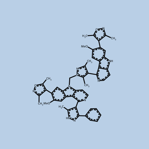 COc1cc2c(cc1-c1c(C)noc1C)[nH]c1ccnc(-c3c(C)nn(Cn4c5cc(-c6c(C)noc6C)c(OC)cc5c5c(-c6c(-c7ccccc7)n[nH]c6C)nccc54)c3C)c12